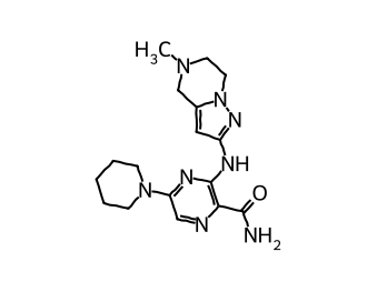 CN1CCn2nc(Nc3nc(N4CCCCC4)cnc3C(N)=O)cc2C1